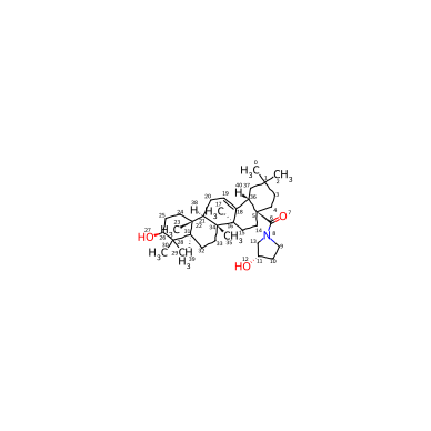 CC1(C)CC[C@]2(C(=O)N3CC[C@H](O)C3)CC[C@]3(C)C(=CC[C@@H]4[C@@]5(C)CC[C@H](O)C(C)(C)[C@@H]5CC[C@]43C)[C@@H]2C1